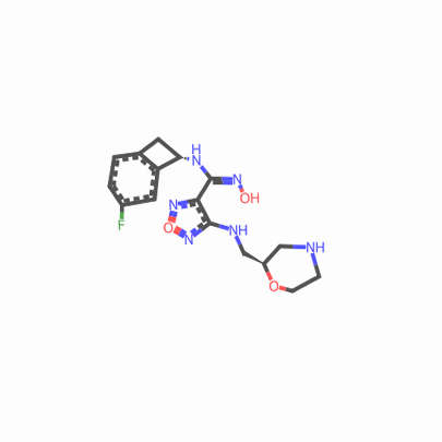 O/N=C(/N[C@H]1Cc2ccc(F)cc21)c1nonc1NC[C@H]1CNCCO1